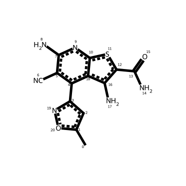 Cc1cc(-c2c(C#N)c(N)nc3sc(C(N)=O)c(N)c23)no1